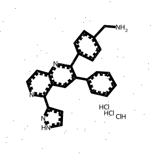 Cl.Cl.Cl.NCc1ccc(-c2nc3ccnc(-c4cc[nH]n4)c3cc2-c2ccccc2)cc1